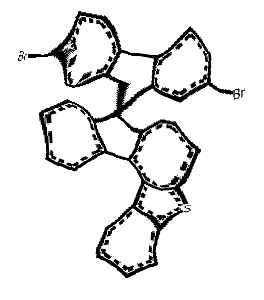 Brc1ccc2c(c1)C1(c3cc(Br)ccc3-2)c2ccccc2-c2c1ccc1sc3ccccc3c21